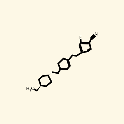 CC[C@H]1CC[C@H](CCC2CC=C(CCc3ccc(C#N)c(F)c3)CC2)CC1